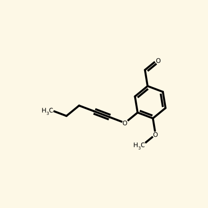 CCCC#COc1cc(C=O)ccc1OC